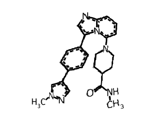 CNC(=O)C1CCN(c2cccc3ncc(-c4ccc(-c5cnn(C)c5)cc4)n23)CC1